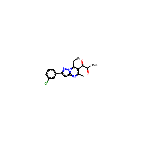 COC(=O)C(=O)c1c(C)nc2cc(-c3cccc(Cl)c3)nn2c1CC(C)C